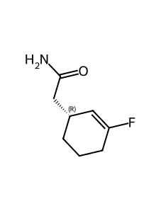 NC(=O)C[C@@H]1C=C(F)CCC1